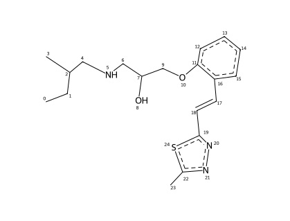 CCC(C)CNCC(O)COc1ccccc1C=Cc1nnc(C)s1